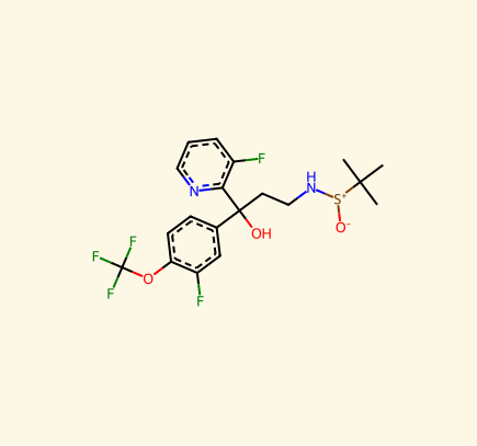 CC(C)(C)[S+]([O-])NCCC(O)(c1ccc(OC(F)(F)F)c(F)c1)c1ncccc1F